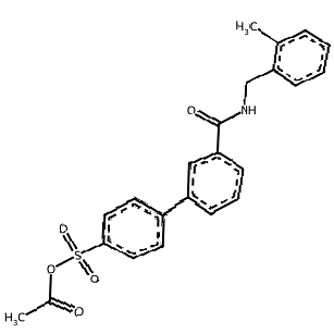 CC(=O)OS(=O)(=O)c1ccc(-c2cccc(C(=O)NCc3ccccc3C)c2)cc1